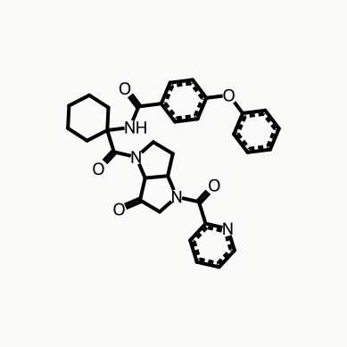 O=C(NC1(C(=O)N2CCC3C2C(=O)CN3C(=O)c2ccccn2)CCCCC1)c1ccc(Oc2ccccc2)cc1